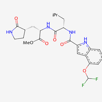 COC(=O)[C@H](C[C@@H]1CCNC1=O)NC(=O)[C@H](CC(C)C)NC(=O)c1cc2c(OC(F)F)cccc2[nH]1